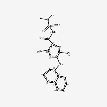 CN(C)S(=O)(=O)NC(=O)c1cc(Cl)c(Oc2cccc3ncccc23)cc1F